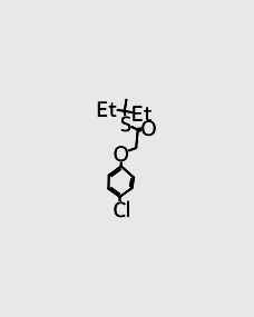 CCC(C)(CC)SC(=O)COc1ccc(Cl)cc1